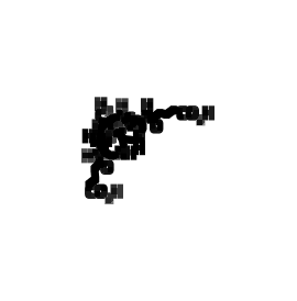 CC1CNC[C@]2(NC(=O)CCCC(=O)O)CNCC3CNC[C@](NC(=O)CCCC(=O)O)(CNC1)CNCC3(C)CNC2